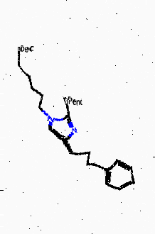 CCCCCCCCCCCCCCCn1cc(CCCc2ccccc2)nc1CCCCC